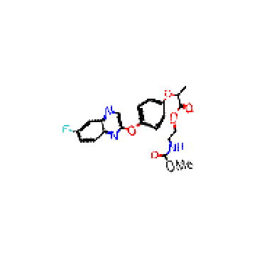 COC(=O)NCCOC(=O)C(C)Oc1ccc(Oc2cnc3cc(F)ccc3n2)cc1